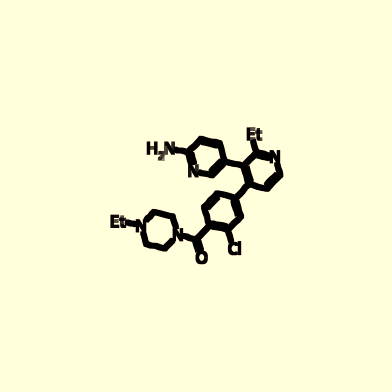 CCc1nccc(-c2ccc(C(=O)N3CCN(CC)CC3)c(Cl)c2)c1-c1ccc(N)nc1